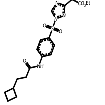 CCOC(=O)Cc1ncn(S(=O)(=O)c2ccc(NC(=O)CCC3CCC3)cc2)n1